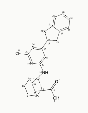 O=C(O)C1C2CCC(CC2)C1Nc1cc(-c2cc3ccccc3s2)nc(Cl)n1